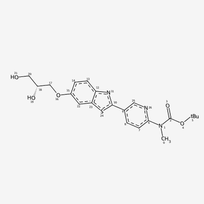 CN(C(=O)OC(C)(C)C)c1ccc(-c2nc3ccc(OC[C@H](O)CO)cc3s2)cn1